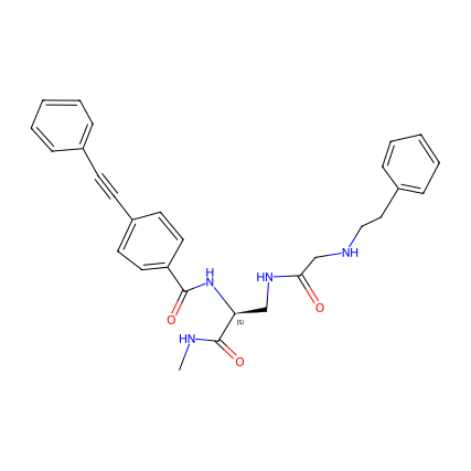 CNC(=O)[C@H](CNC(=O)CNCCc1ccccc1)NC(=O)c1ccc(C#Cc2ccccc2)cc1